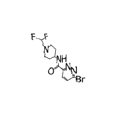 O=C(NC1CCN(CC(F)F)CC1)c1ccc(Br)nn1